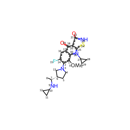 COc1c(N2CC[C@H](C(C)NC3CC3)C2)c(F)cc2c(=O)c3c(=O)[nH]sc3n(C3CC3)c12